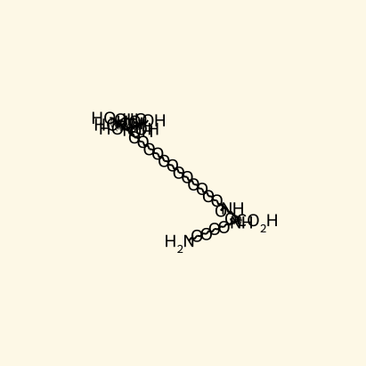 NCCOCCOCCOCCOCCC(=O)N[C@@H](CCCCNC(=O)CCOCCOCCOCCOCCOCCOCCOCCOCCOCCOCCOCCOCCN(C[C@H](O)[C@@H](O)[C@H](O)[C@H](O)CO)C[C@H](O)[C@@H](O)[C@H](O)[C@H](O)CO)C(=O)O